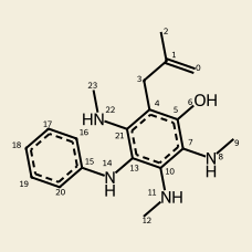 C=C(C)Cc1c(O)c(NC)c(NC)c(Nc2ccccc2)c1NC